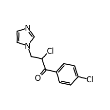 O=C(c1ccc(Cl)cc1)C(Cl)Cn1ccnc1